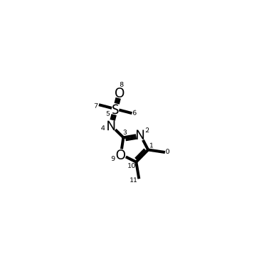 Cc1nc(N=S(C)(C)=O)oc1C